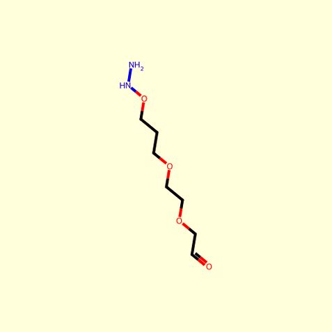 NNOCCCOCCOCC=O